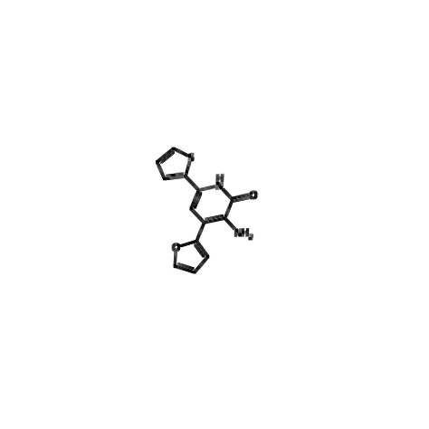 Nc1c(-c2ccco2)cc(-c2cccs2)[nH]c1=O